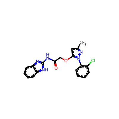 O=C(COc1cc(C(F)(F)F)nn1-c1ccccc1Cl)Nc1nc2ccccc2[nH]1